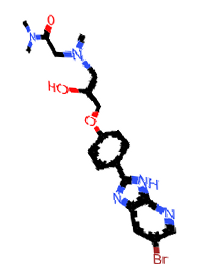 CN(CC(=O)N(C)C)CC(O)COc1ccc(-c2nc3cc(Br)cnc3[nH]2)cc1